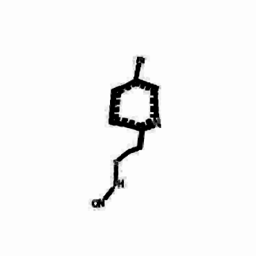 O=NPSCc1ccc(Br)cn1